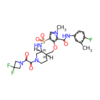 Cc1cc(NC(=O)c2c3c(cn2C)S(=O)(=O)N[C@H]2CN(C(=O)C(=O)N4CC(F)(F)C4)CC[C@H]2CO3)ccc1F